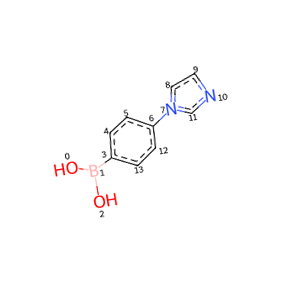 OB(O)c1ccc(-n2ccnc2)cc1